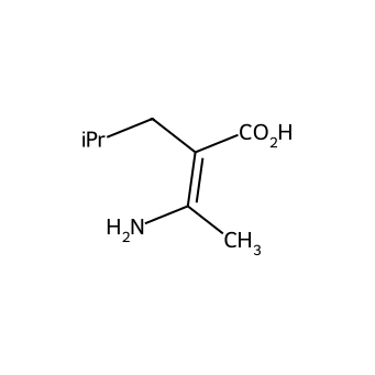 CC(N)=C(CC(C)C)C(=O)O